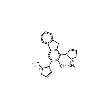 Cc1c(N2C=CC[C@H]2C)cc2c(c1N1C=CC[C@@H]1C)Cc1ccccc1-2